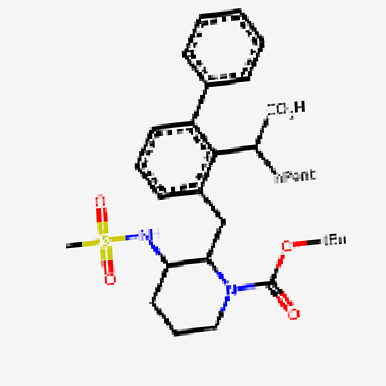 CCCCCC(C(=O)O)c1c(CC2C(NS(C)(=O)=O)CCCN2C(=O)OC(C)(C)C)cccc1-c1ccccc1